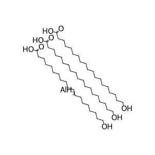 O=C(O)CCCCCCCCCCCCCCCCCCO.O=C(O)CCCCCCCCCCCCCCCCCCO.O=C(O)CCCCCCCCCCCCCCCCCCO.[AlH3]